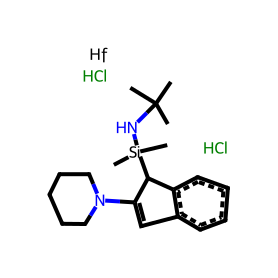 CC(C)(C)N[Si](C)(C)C1C(N2CCCCC2)=Cc2ccccc21.Cl.Cl.[Hf]